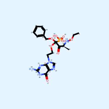 CCON[C@@H](C)C(=O)C(OCCn1cnc2c(=O)[nH]c(N)nc21)(OCc1ccccc1)P(=O)(O)O